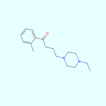 CCN1CCN(CCCC(=O)c2ccccc2C)CC1